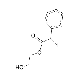 O=C(OCCO)C(I)c1ccccc1